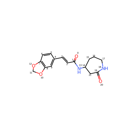 O=C(C=Cc1ccc2c(c1)OCO2)NC1CCCNC(=O)C1